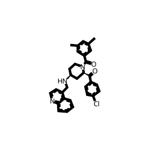 Cc1cc(C)cc(C(=O)N2CC[C@H](NCc3ccnc4ccccc34)C[C@@H]2C(=O)c2ccc(Cl)cc2)c1